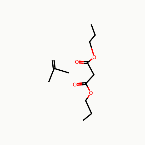 C=C(C)C.CCCOC(=O)CC(=O)OCCC